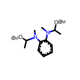 CC(C)COC(C)N(C)c1ccccc1N(C)C(C)OCC(C)C